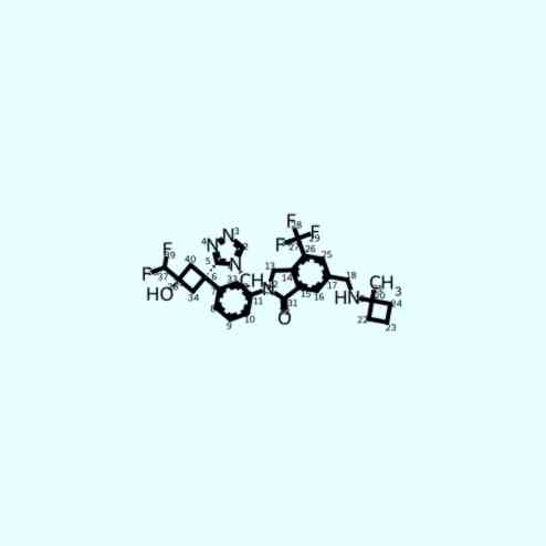 Cn1cnnc1[C@]1(c2cccc(N3Cc4c(cc(CNC5(C)CCC5)cc4C(F)(F)F)C3=O)c2)C[C@@](O)(C(F)F)C1